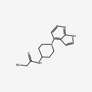 N#CCC(=O)NC1CCN(c2ccnc3[nH]ccc23)CC1